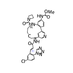 COC(=O)Nc1ccc2c(c1)N[C@@H](C(=O)N1CCC1)CCCC[C@H](NC(=O)/C=C/c1cc(Cl)ccc1-n1cnnn1)c1cncc-2c1